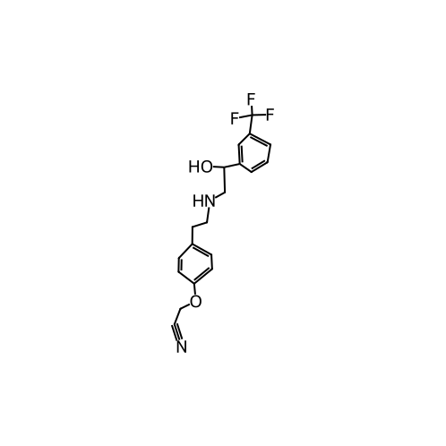 N#CCOc1ccc(CCNCC(O)c2cccc(C(F)(F)F)c2)cc1